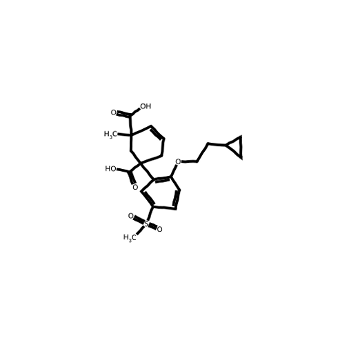 CC1(C(=O)O)C=CCC(C(=O)O)(c2cc(S(C)(=O)=O)ccc2OCCC2CC2)C1